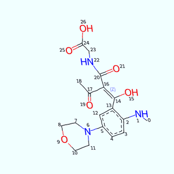 CNc1ccc(N2CCOCC2)cc1/C(O)=C(\C(C)=O)C(=O)NCC(=O)O